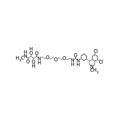 CNC(=O)C(O)C(O)C(=O)NCCOCCOCCOCCNC(=O)Nc1cccc(C2CN(C)Cc3c(Cl)cc(Cl)cc32)c1